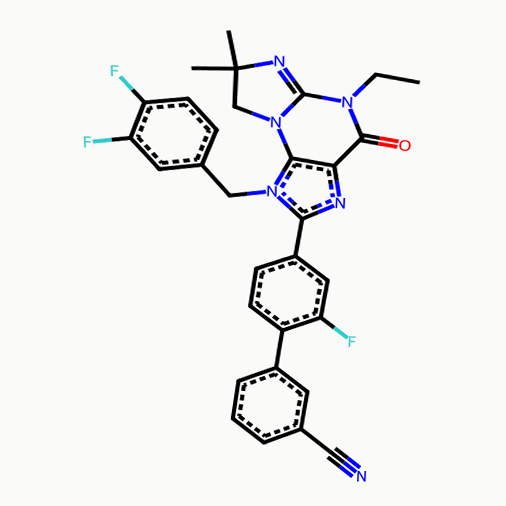 CCN1C(=O)c2nc(-c3ccc(-c4cccc(C#N)c4)c(F)c3)n(Cc3ccc(F)c(F)c3)c2N2CC(C)(C)N=C12